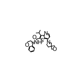 CC(C)c1c(C(=O)N[C@H]2CCOc3ccccc32)sc2c(N3CCC4(COC4)C3)ccnc12